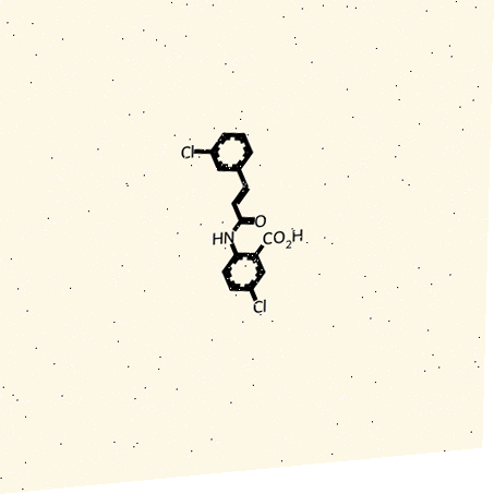 O=C(C=Cc1cccc(Cl)c1)Nc1ccc(Cl)cc1C(=O)O